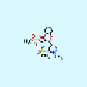 CN1CCC(C2Oc3ccccc3C(=O)C2(CCS(C)(=O)=O)CCS(C)(=O)=O)CC1